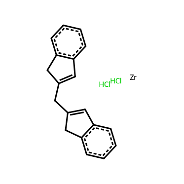 C1=C(CC2=Cc3ccccc3C2)Cc2ccccc21.Cl.Cl.[Zr]